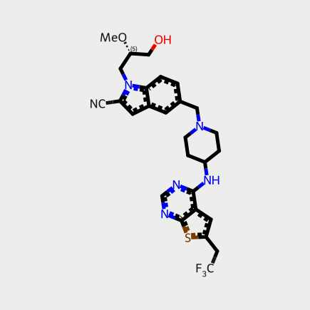 CO[C@H](CO)Cn1c(C#N)cc2cc(CN3CCC(Nc4ncnc5sc(CC(F)(F)F)cc45)CC3)ccc21